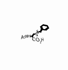 CC(=O)N[C@@H](CSSCc1ccccc1)C(=O)O